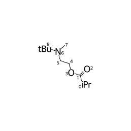 CC(C)C(=O)OCCN(C)C(C)(C)C